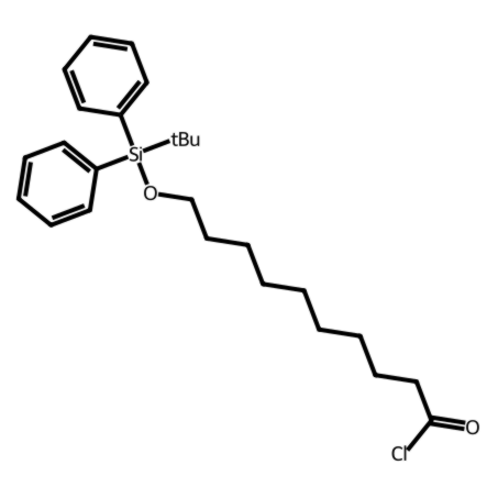 CC(C)(C)[Si](OCCCCCCCCCC(=O)Cl)(c1ccccc1)c1ccccc1